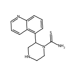 NC(=S)N1CCNCC1c1cccc2ncccc12